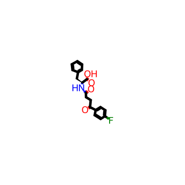 O=C(CCC(=O)c1ccc(F)cc1)N[C@@H](Cc1ccccc1)C(=O)O